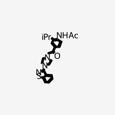 CC(=O)Nc1ccc(C(=O)CN2CCN(c3nsc4ccccc34)CC2)cc1C(C)C